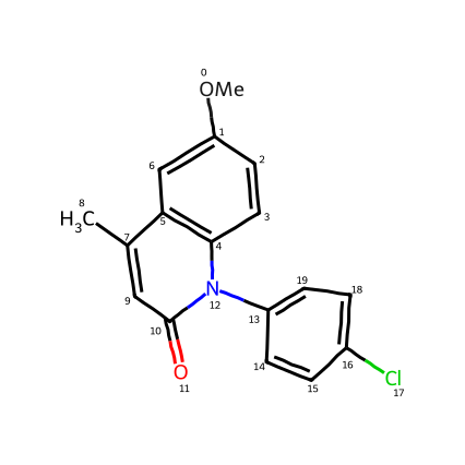 COc1ccc2c(c1)c(C)cc(=O)n2-c1ccc(Cl)cc1